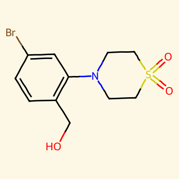 O=S1(=O)CCN(c2cc(Br)ccc2CO)CC1